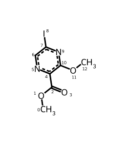 COC(=O)c1ncc(I)nc1OC